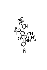 CC(C)n1c2cc(-c3cncc(OS(=O)(=O)F)c3)c(OC(F)(F)F)cc2c(=O)c2c3ccc(C#N)cc3[nH]c21